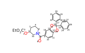 CCOC(=O)OC1CCCN(C(=O)c2ccc3c(c2)OC(c2ccccc2)(c2ccccc2)O3)C1